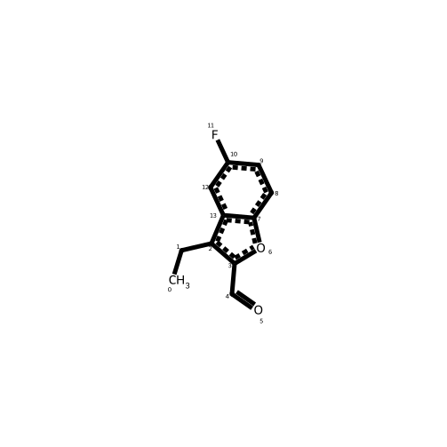 CCc1c(C=O)oc2ccc(F)cc12